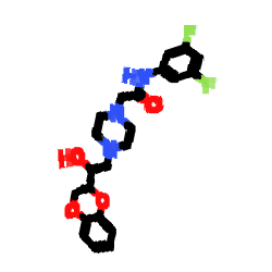 O=C(CN1CCN(CC(O)C2COc3ccccc3O2)CC1)Nc1cc(F)cc(F)c1